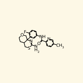 Cc1ccc(C(=O)Nc2ccc(F)c(C34COCCC3CSC(N)=N4)c2)nc1